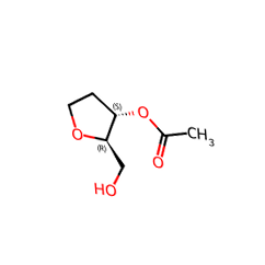 CC(=O)O[C@H]1CCO[C@@H]1CO